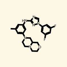 Cc1cc(Nc2ncn(-c3cc(F)cc(F)c3)n2)cc(N2CCN3CCOCC3C2)c1